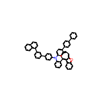 C1#CCC(c2ccccc2N(C2=CC=C(c3ccc(-c4ccccc4)cc3)CC2)c2ccc(-c3cccc(-c4cccc5ccccc45)c3)cc2)=c2c(oc3ccccc23)=C1